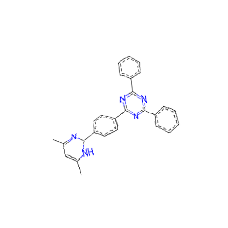 CC1=CC(C)=NC(c2ccc(-c3nc(-c4ccccc4)nc(-c4ccccc4)n3)cc2)N1